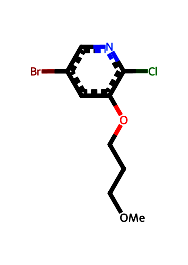 COCCCOc1cc(Br)cnc1Cl